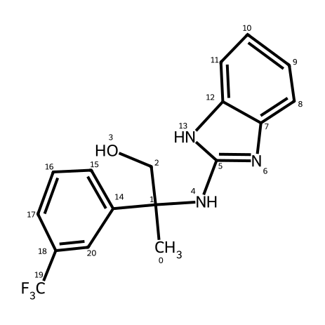 CC(CO)(Nc1nc2ccccc2[nH]1)c1cccc(C(F)(F)F)c1